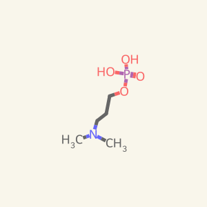 CN(C)CCCOP(=O)(O)O